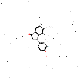 CCOc1ccc(C2CC(=O)c3cc(OC)c(OC)c(OC)c32)cc1F